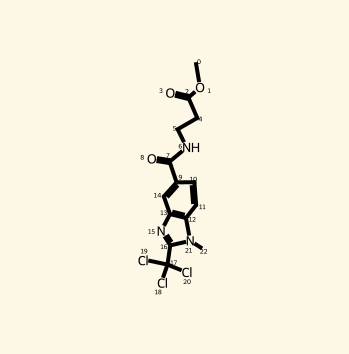 COC(=O)CCNC(=O)c1ccc2c(c1)nc(C(Cl)(Cl)Cl)n2C